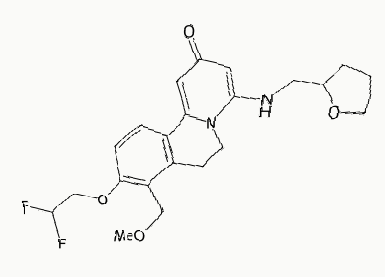 COCc1c(OCC(F)F)ccc2c1CCn1c(NCC3CCCO3)cc(=O)cc1-2